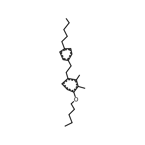 CCCCCOc1ccc(CCc2ccc(CCCCC)cc2)c(C)c1C